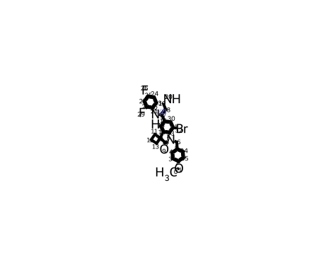 COc1ccc(CN2C(=O)C3(CCC3)c3cc(/C(=C/C=N)Nc4ccc(F)cc4F)cc(Br)c32)cc1